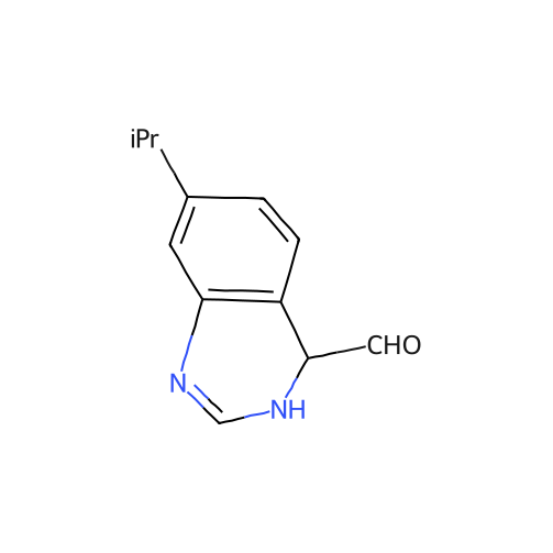 CC(C)c1ccc2c(c1)N=CNC2C=O